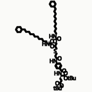 CC(C)(C)OC(=O)CC[C@H](NC(=O)c1ccc(NC(=O)CCSCC(COC(=O)NCCCCCCCCCCCC2CCCCC2)OC(=O)NCCCCCCCCCCCC2CCCCC2)cc1)C(=O)OC(C)(C)C